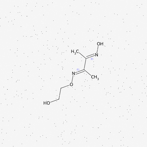 CC(=N\O)/C(C)=N/OCCO